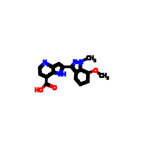 COc1cccc2c(-c3cc4nccc(C(=O)O)c4[nH]3)nn(C)c12